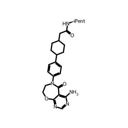 CCC[C@H](C)NC(=O)CC1CCC(c2ccc(N3CCOc4ncnc(N)c4C3=O)cc2)CC1